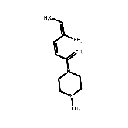 C=C(/C=C\C(N)=C/C)N1CCN(C)CC1